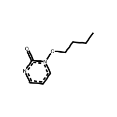 CCCCOn1cc[c]nc1=O